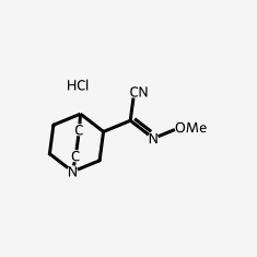 CON=C(C#N)C1CN2CCC1CC2.Cl